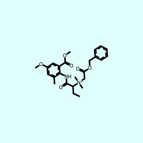 CCC(C(=O)Nc1c(C)cc(OC)cc1C(=O)OC)[N+](C)(C)CC(=O)OCc1ccccc1